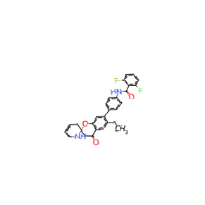 CCc1cc2c(cc1-c1ccc(NC(=O)c3c(F)cccc3F)cc1)OC1(CC=CCN1)CC2=O